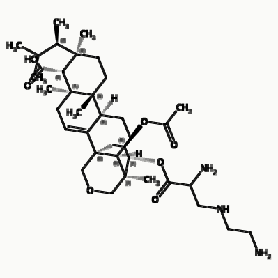 CC(=O)O[C@@H]1C[C@@]23COC[C@@](C)([C@@H]2CC[C@H]2C3=CC[C@@]3(C)[C@H](C(=O)O)[C@@](C)([C@H](C)C(C)C)CC[C@]23C)[C@H]1OC(=O)C(N)CNCCN